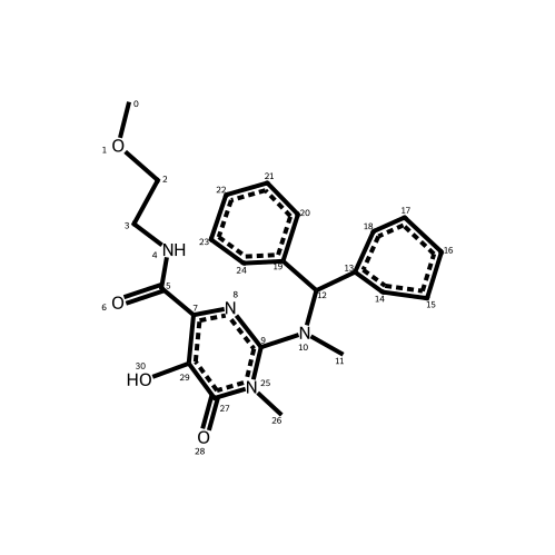 COCCNC(=O)c1nc(N(C)C(c2ccccc2)c2ccccc2)n(C)c(=O)c1O